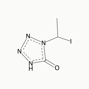 CC(I)n1nn[nH]c1=O